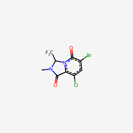 CN1C(=O)c2c(Cl)cc(Br)c(=O)n2C1C(F)(F)F